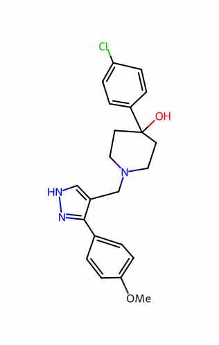 COc1ccc(-c2n[nH]cc2CN2CCC(O)(c3ccc(Cl)cc3)CC2)cc1